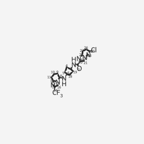 O=C(Nc1ccc(Nc2cccc3nc(C(F)(F)F)cn23)cc1)c1cn2nc(Cl)ccc2n1